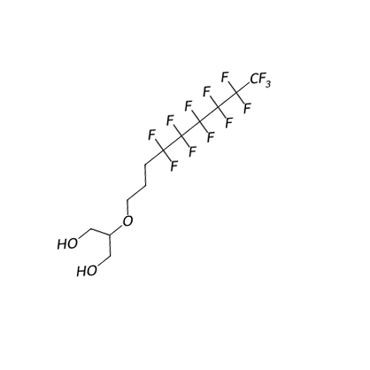 OCC(CO)OCCCC(F)(F)C(F)(F)C(F)(F)C(F)(F)C(F)(F)C(F)(F)F